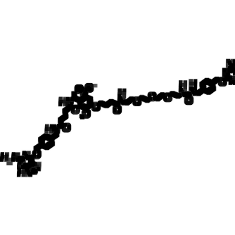 COc1cc(C(C)NC(=O)CCCC(=O)NCc2ccc(COc3nc(N)nc4[nH]cnc34)cc2)c([N+](=O)[O-])cc1OCCCC(=O)NCCOCCOCCOCCNC(=O)NCc1ccc(COc2nccc(N)n2)cc1